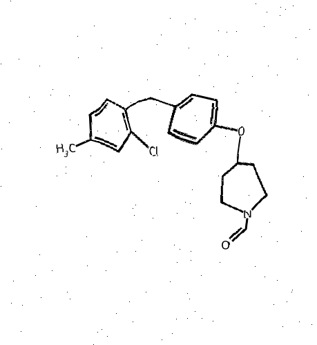 Cc1ccc(Cc2ccc(OC3CCN(C=O)CC3)cc2)c(Cl)c1